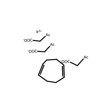 C1=CCCC=CCC1.CC(=O)CC(=O)[O-].CC(=O)CC(=O)[O-].CC(=O)CC(=O)[O-].[Ir+3]